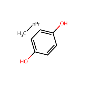 CCCC.Oc1ccc(O)cc1